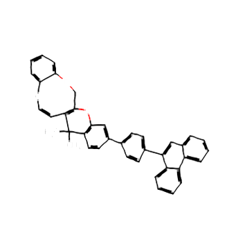 CC1(C)C2=C(COc3ccccc3C/C=C\2)Oc2cc(-c3ccc(-c4cc5ccccc5c5ccccc45)cc3)ccc21